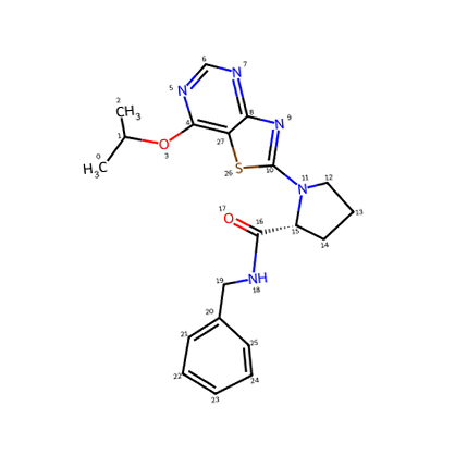 CC(C)Oc1ncnc2nc(N3CCC[C@@H]3C(=O)NCc3ccccc3)sc12